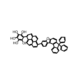 Oc1c(O)c(O)c(-c2ccc3ccc4c(-c5ccc6c(c5)oc5ccc7c(c56)-c5ccccc5C7(c5ccccc5)c5ccccc5)ccc5ccc2c3c54)c(O)c1O